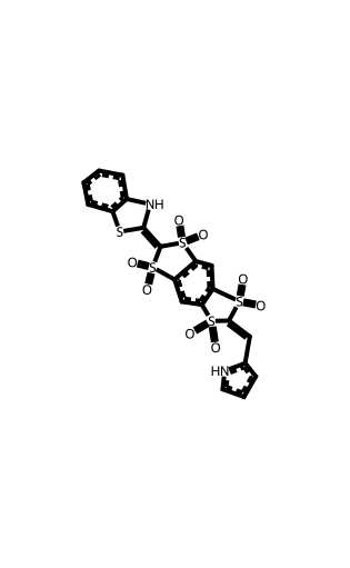 O=S1(=O)C(=Cc2ccc[nH]2)S(=O)(=O)c2cc3c(cc21)S(=O)(=O)C(=C1Nc2ccccc2S1)S3(=O)=O